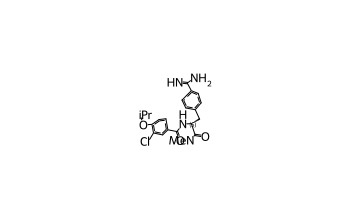 CNC(=O)[C@H](Cc1ccc(C(=N)N)cc1)NC(=O)c1ccc(OC(C)C)c(Cl)c1